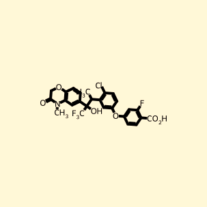 CC(c1cc(Oc2ccc(C(=O)O)c(F)c2)ccc1Cl)C(O)(c1ccc2c(c1)N(C)C(=O)CO2)C(F)(F)F